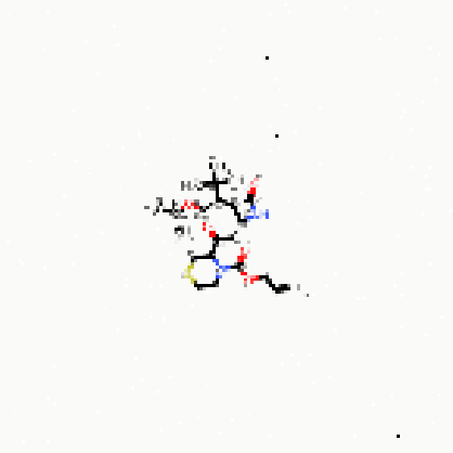 C=CCOC(=O)N1CCSCC1C(=O)C[C@H]1NC(=O)[C@H]1[C@@H](CO[SiH](C)C)C(C)(C)C